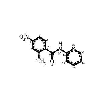 Cc1cc([N+](=O)[O-])ccc1C(=O)Nc1ccccn1